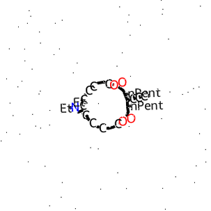 C=C=C=C=C1C(CCCCC)CC(=O)OCCCCCCCCC(CN(CC)CC)CCCCCCCCOC(=O)CC1CCCCC